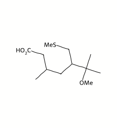 COC(C)(C)C(CSC)CC(C)CC(=O)O